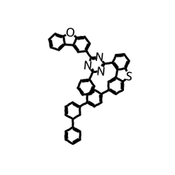 C1=CC(c2ccccc2)CC(c2ccc(-c3ccc4sc5cccc(-c6nc(-c7ccccc7)nc(-c7ccc8oc9ccccc9c8c7)n6)c5c4c3)cc2)=C1